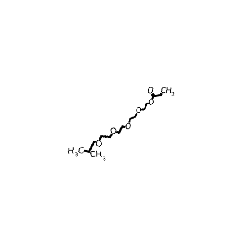 C=CC(=O)OCCOCCOCCOCCOCC(C)C